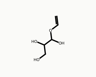 C=COC(O)C(O)CO